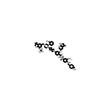 [2H]C([2H])([2H])Oc1cc(CN2CCN(C3CC4(C3)CN(c3ccc(C(=O)NS(=O)(=O)c5ccc(NCC6CCC(C)(O)CC6)c([N+](=O)[O-])c5)c(Oc5cnc6[nH]cc(F)c6c5)c3)C4)[C@H](c3ccccc3C(C)C)C2)cc2c1OCC2(C)C